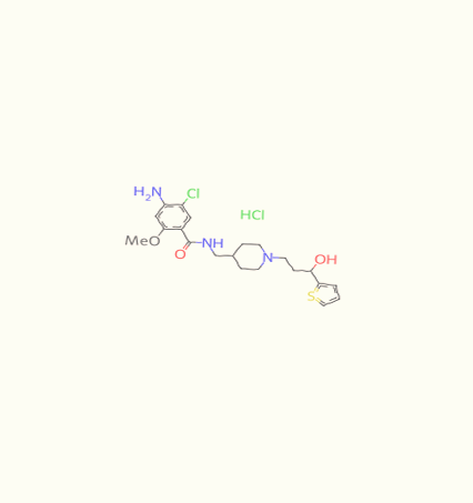 COc1cc(N)c(Cl)cc1C(=O)NCC1CCN(CCC(O)c2cccs2)CC1.Cl